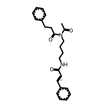 CC(=O)N(CCCCNC(=O)/C=C/c1ccccc1)C(=O)CCc1ccccc1